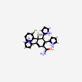 COC1(c2ccccc2F)C(c2ccc[nH]2)=CC(C(N)=O)=C(c2ccc[nH]2)C1c1ccc[nH]1